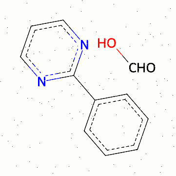 O=CO.c1ccc(-c2ncccn2)cc1